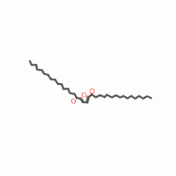 CCCCCCCCCCCCCCCC(=O)c1ccc(C(=O)CCCCCCCCCCCCCCC)o1